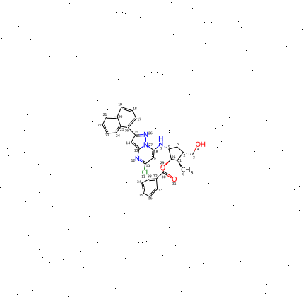 C[C@@H]1[C@@H](CO)C[C@@H](Nc2cc(Cl)nc3cc(-c4cccc5ccccc45)nn23)[C@@H]1OC(=O)c1ccccc1